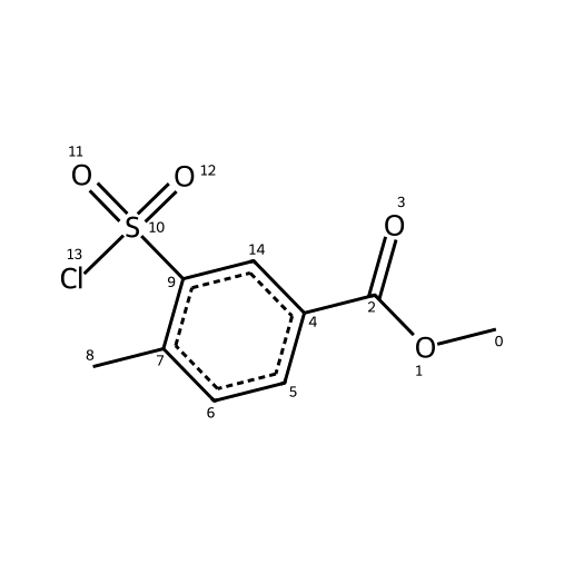 COC(=O)c1ccc(C)c(S(=O)(=O)Cl)c1